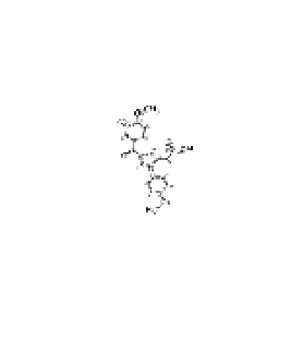 COc1ccc(-c2sc(C(=O)c3ccc(OC)c(F)c3)cc2CC(=O)O)cc1